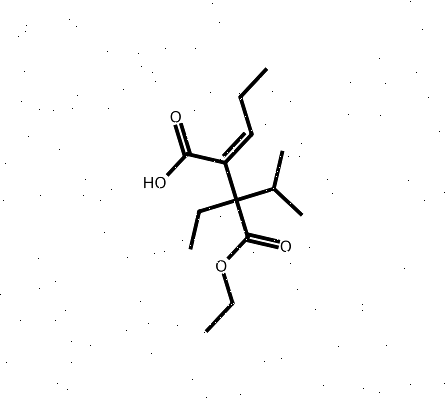 CCC=C(C(=O)O)C(CC)(C(=O)OCC)C(C)C